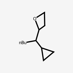 [CH2]CCCC(C1CC1)C1CCO1